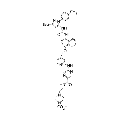 Cc1ccc(-n2nc(C(C)(C)C)cc2NC(=O)Nc2ccc(OCc3ccnc(Nc4cnc(C(=O)NCCN5CCN(C(=O)O)CC5)cn4)c3)c3ccccc23)cc1